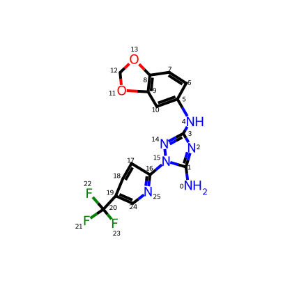 Nc1nc(Nc2ccc3c(c2)OCO3)nn1-c1ccc(C(F)(F)F)cn1